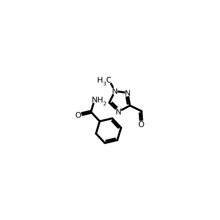 Cn1cnc(C=O)n1.NC(=O)C1C=CC=CC1